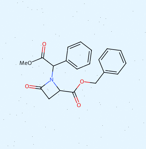 COC(=O)C(c1ccccc1)N1C(=O)CC1C(=O)OCc1ccccc1